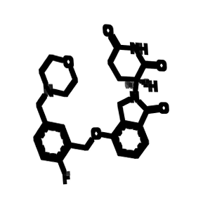 [2H][C@]1(N2Cc3c(OCc4cc(CN5CCOCC5)ccc4F)cccc3C2=O)CCC(=O)NC1=O